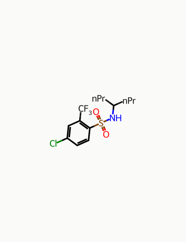 CCCC(CCC)NS(=O)(=O)c1ccc(Cl)cc1C(F)(F)F